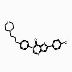 O=c1c2sc(-c3ccc(Cl)cc3)cc2ncn1-c1ccc(SCCN2CCOCC2)cc1